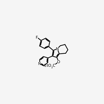 CCOC(=O)Oc1c(-c2ccncc2)c(-c2ccc(F)cc2)n2c1CCCC2